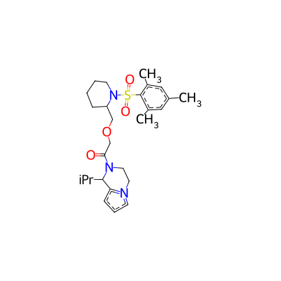 Cc1cc(C)c(S(=O)(=O)N2CCCCC2COCC(=O)N2CCn3cccc3C2C(C)C)c(C)c1